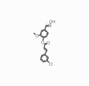 COc1cc(/C=N/O)ccc1OC(=O)/C=C/c1cccc(Cl)c1